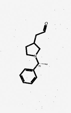 C[C@H](c1ccccc1)N1CCC(CC=O)C1